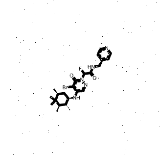 C[C@@H]1[C@@H](C)C(C)(C)[C@@H](C)C[C@H]1Nc1cnn(C(F)C(=O)NCc2ccncc2)c(=O)c1Br